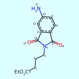 CCOC(=O)CCCN1C(=O)c2ccc(N)cc2C1=O